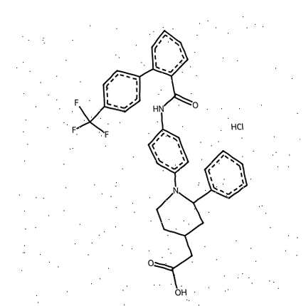 Cl.O=C(O)CC1CCN(c2ccc(NC(=O)c3ccccc3-c3ccc(C(F)(F)F)cc3)cc2)C(c2ccccc2)C1